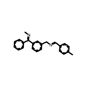 C/N=C(\c1ccccc1)c1cccc(C/N=C/c2ccc(C)cc2)c1